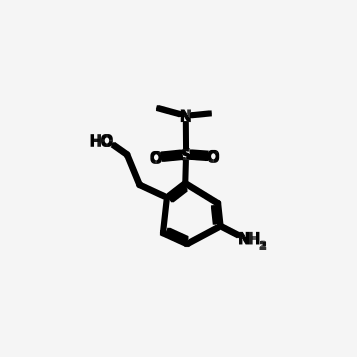 CN(C)S(=O)(=O)c1cc(N)ccc1CCO